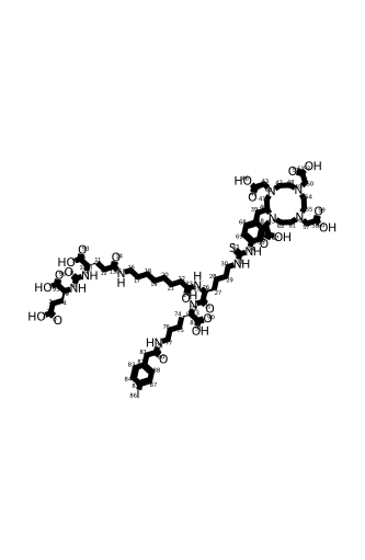 O=C(O)CC[C@H](NC(=O)N[C@@H](CCC(=O)NCCCCCCCC(=O)N[C@@H](CCCCNC(=S)Nc1ccc(CC2CN(CC(=O)O)CCN(CC(=O)O)CCN(CC(=O)O)CCN2CC(=O)O)cc1)C(=O)N[C@@H](CCCCNC(=O)Cc1ccc(I)cc1)C(=O)O)C(=O)O)C(=O)O